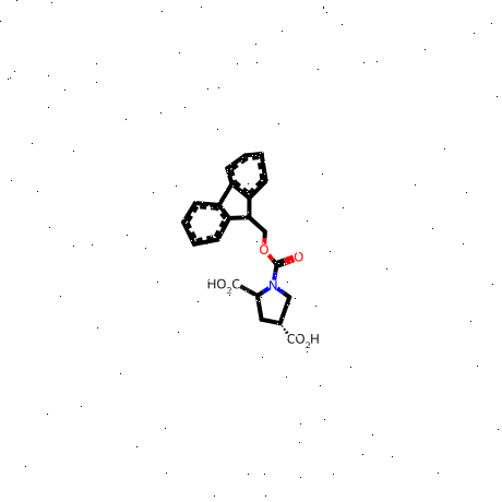 O=C(O)C1C[C@@H](C(=O)O)CN1C(=O)OCC1c2ccccc2-c2ccccc21